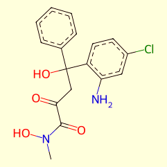 CN(O)C(=O)C(=O)CC(O)(c1ccccc1)c1ccc(Cl)cc1N